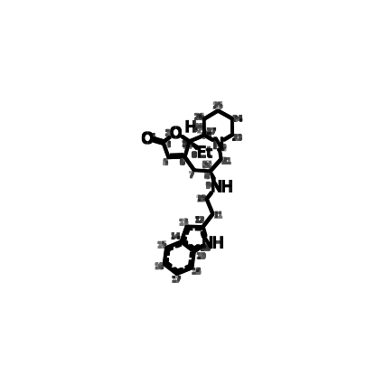 CC[C@]12OC(=O)C=C1C[C@H](NCCc1cc3ccccc3[nH]1)CN1CCCC[C@@H]12